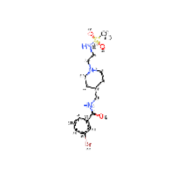 O=C(NCC1CCN(CCNS(=O)(=O)C(F)(F)F)CC1)c1cccc(Br)c1